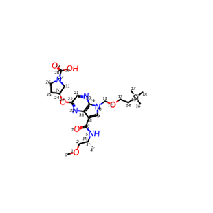 COC[C@@H](C)NC(=O)c1cn(COCC[Si](C)(C)C)c2ncc(O[C@H]3CCN(C(=O)O)C3)nc12